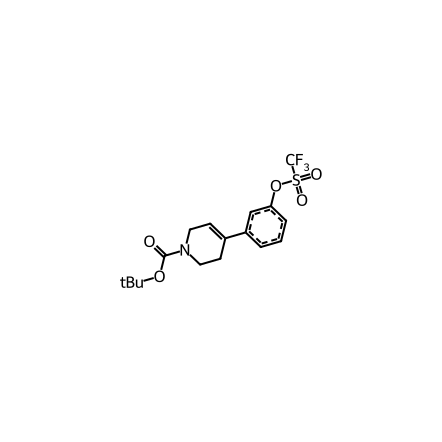 CC(C)(C)OC(=O)N1CC=C(c2cccc(OS(=O)(=O)C(F)(F)F)c2)CC1